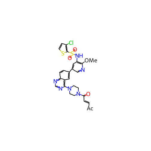 COc1ncc(-c2ccc3ncnc(N4CCN(C(=O)C=CC(C)=O)CC4)c3c2)cc1NS(=O)(=O)c1sccc1Cl